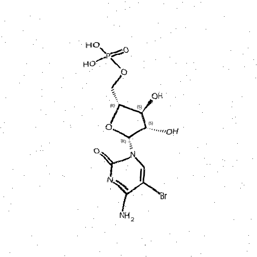 Nc1nc(=O)n([C@@H]2O[C@H](COP(=O)(O)O)[C@@H](O)[C@@H]2O)cc1Br